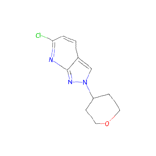 Clc1ccc2cn(C3CCOCC3)nc2n1